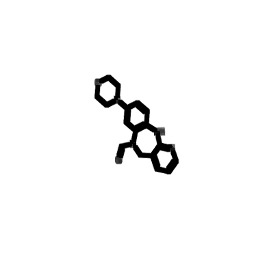 O=CN1Cc2cccnc2Nc2ccc(N3CCOCC3)cc21